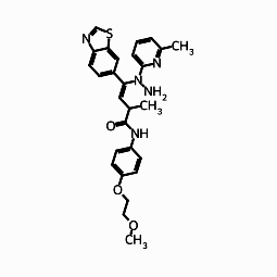 COCCOc1ccc(NC(=O)C(C)/C=C(/c2ccc3ncsc3c2)N(N)c2cccc(C)n2)cc1